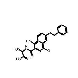 CC(NC(=O)c1nc(Cl)c2cc(OCc3ccccc3)ccc2c1O)C(=O)O